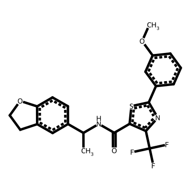 COc1cccc(-c2nc(C(F)(F)F)c(C(=O)NC(C)c3ccc4c(c3)CCO4)s2)c1